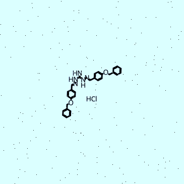 Cl.N=C(NN=Cc1ccc(OCc2ccccc2)cc1)NN=Cc1ccc(OCc2ccccc2)cc1